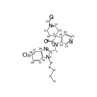 CCCCCn1c(CN2C(=O)C3(CCN(C=O)CC3)c3ccncc32)nc2cc(Cl)ccc21